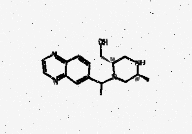 CC(c1ccc2nccnc2c1)N1C[C@H](C)NC[C@H]1CO